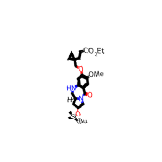 CCOC(=O)CCC1(COc2cc3c(cc2OC)C(=O)N2C[C@H](O[Si](C)(C)C(C)(C)C)C[C@H]2CN3)CC1